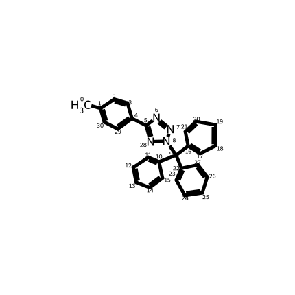 Cc1ccc(-c2nnn(C(c3ccccc3)(c3ccccc3)c3ccccc3)n2)cc1